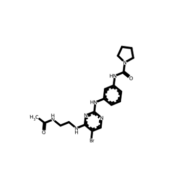 CC(=O)NCCNc1nc(Nc2cccc(NC(=O)N3CCCC3)c2)ncc1Br